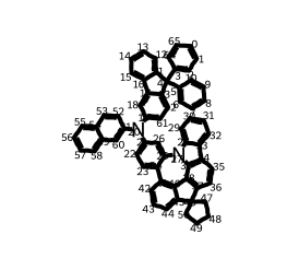 c1ccc(C2(c3ccccc3)c3ccccc3-c3cc(N(c4ccc5c(c4)-n4c6ccccc6c6ccc7c(c64)-c4c-5cccc4C74CCCC4)c4ccc5ccccc5c4)ccc32)cc1